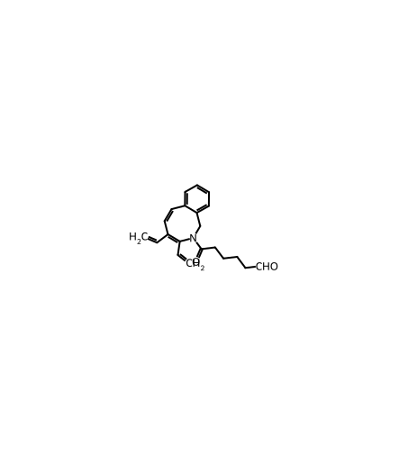 C=CC1=C(\C=C)N(C(=O)CCCCC=O)Cc2ccccc2/C=C\1